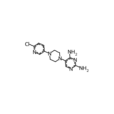 Nc1ncc(N2CCN(c3ccc(Cl)nc3)CC2)c(N)n1